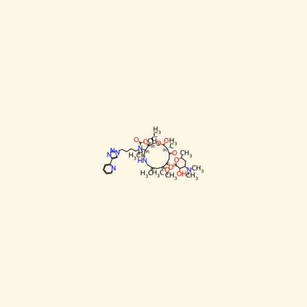 CC[C@H]1OC(=O)[C@H](C)C(=O)C[C@@H](O[C@@H]2OC(C)CC(N(C)C)C2O)[C@@](C)(OC)C[C@@H](C)CN[C@H](C)[C@H]2N(CCCCn3cc(-c4ccccn4)nn3)C(=O)O[C@]12C